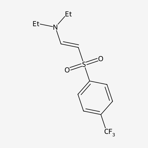 CCN(/C=C/S(=O)(=O)c1ccc(C(F)(F)F)cc1)CC